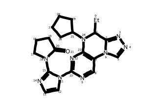 CCC1c2nncn2-c2cnc(-n3ccnc3N3CCCC3=O)nc2N1C1CCCC1